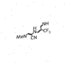 CN/C=C(\C#N)N/C=C(\C=N)C(F)(F)F